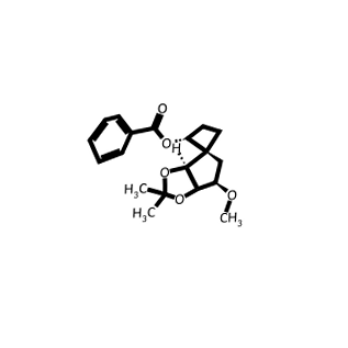 CO[C@@H]1C[C@@]2(CC[C@H]2OC(=O)c2ccccc2)[C@@H]2OC(C)(C)OC21